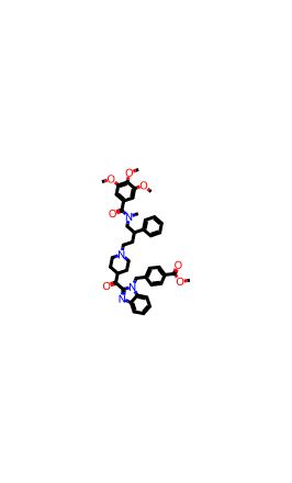 COC(=O)c1ccc(Cn2c(C(=O)C3CCN(CCC(CN(C)C(=O)c4cc(OC)c(OC)c(OC)c4)c4ccccc4)CC3)nc3ccccc32)cc1